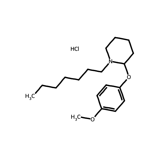 CCCCCCCN1CCCCC1Oc1ccc(OC)cc1.Cl